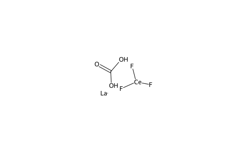 O=C(O)O.[F][Ce]([F])[F].[La]